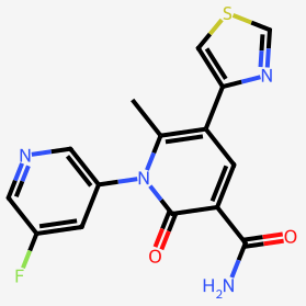 Cc1c(-c2cscn2)cc(C(N)=O)c(=O)n1-c1cncc(F)c1